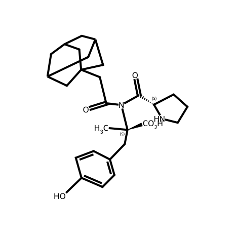 C[C@](Cc1ccc(O)cc1)(C(=O)O)N(C(=O)CC12CC3CC(CC(C3)C1)C2)C(=O)[C@@H]1CCCN1